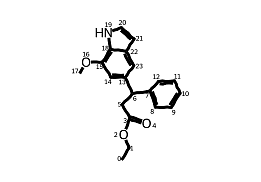 CCOC(=O)CC(c1ccccc1)c1cc(OC)c2[nH]ccc2c1